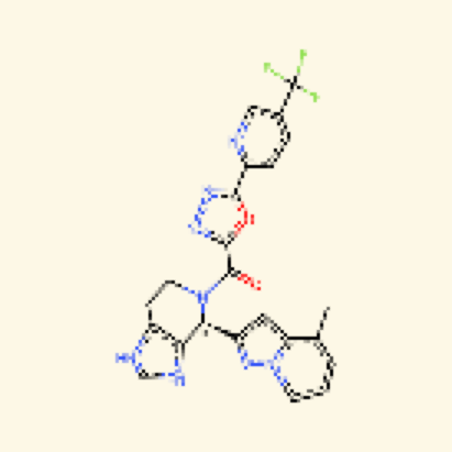 Cc1cccn2nc([C@H]3c4nc[nH]c4CCN3C(=O)c3nnc(-c4ccc(C(F)(F)F)cn4)o3)cc12